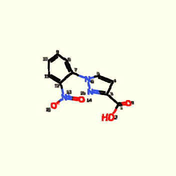 O=C(O)c1ccn(-c2ccccc2[N+](=O)[O-])n1